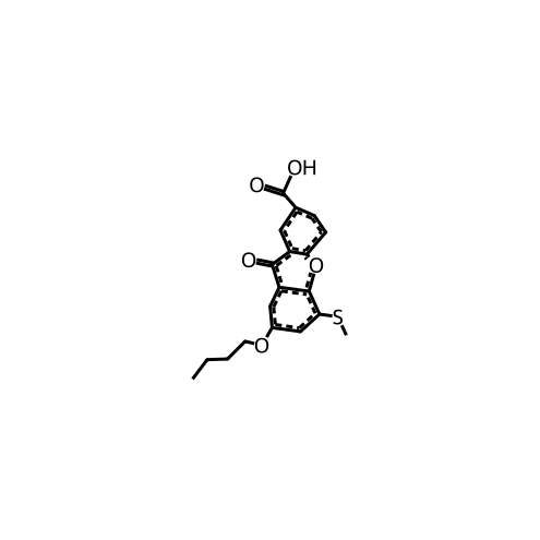 CCCCOc1cc(SC)c2oc3ccc(C(=O)O)cc3c(=O)c2c1